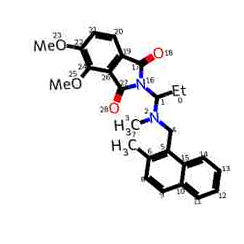 CCC(N(C)Cc1c(C)ccc2ccccc12)N1C(=O)c2ccc(OC)c(OC)c2C1=O